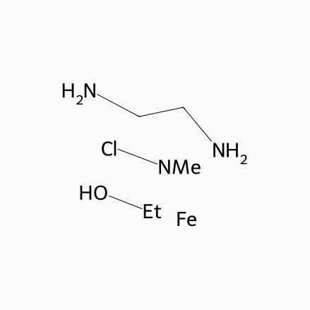 CCO.CNCl.NCCN.[Fe]